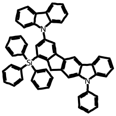 c1ccc(-n2c3ccccc3c3cc4c(cc32)Cc2c-4cc(-n3c4ccccc4c4ccccc43)cc2[Si](c2ccccc2)(c2ccccc2)c2ccccc2)cc1